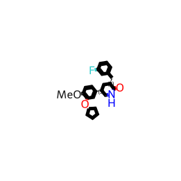 COc1ccc([C@H]2CNC(=O)[C@@H](Cc3cccc(F)c3)C2)cc1OC1CCCC1